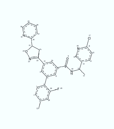 Cc1ccc(-c2cc(C(=O)NC(C)c3ccc(Cl)nc3)cc(C3=NOC(c4ccccn4)C3)c2)c(F)c1